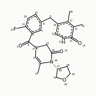 CC1=CN(C(=O)c2cc(Cc3n[nH]c(=O)c(C)c3C)ccc2F)CC(=O)N1[C@@H]1CCOC1